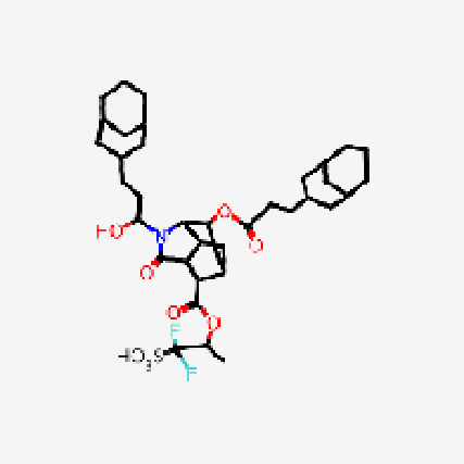 CC(OC(=O)C1C2CC3C1C(=O)N(C(O)CCC1CC4CCCC(C4)C1)C3C2OC(=O)CCC1CC2CCCC(C2)C1)C(F)(F)S(=O)(=O)O